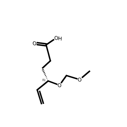 C=C[C@H](CCC(=O)O)OCOC